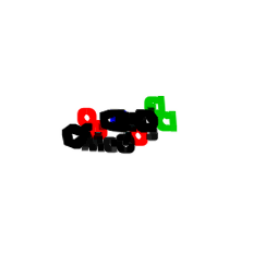 COC(=O)[C@@H]1C2[C@@H](OC(=O)c3ccccc3)CC(C[C@H]1c1ccc(Cl)c(Cl)c1)N2C